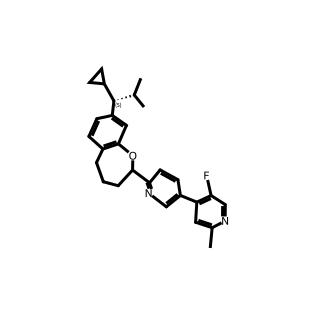 Cc1cc(-c2ccc(C3CCCc4ccc([C@@H](C(C)C)C5CC5)cc4O3)nc2)c(F)cn1